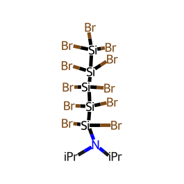 CC(C)N(C(C)C)[Si](Br)(Br)[Si](Br)(Br)[Si](Br)(Br)[Si](Br)(Br)[Si](Br)(Br)Br